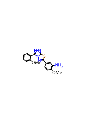 COc1ccc(-c2nn3c(-c4ccccc4OC)nnc3s2)cc1N